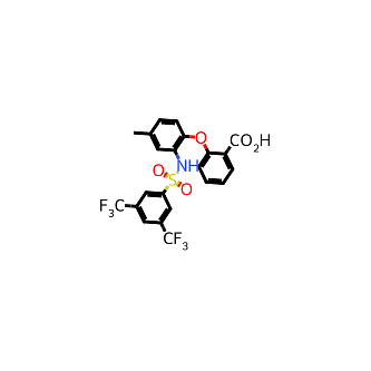 Cc1ccc(Oc2ccccc2C(=O)O)c(NS(=O)(=O)c2cc(C(F)(F)F)cc(C(F)(F)F)c2)c1